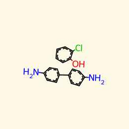 Nc1ccc(-c2ccc(N)cc2)cc1.Oc1ccccc1Cl